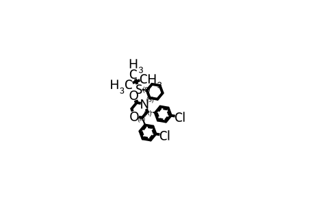 CC(C)(C)S[C@H]1CCCC[C@@H]1N1C(=O)CO[C@H](c2cccc(Cl)c2)[C@H]1c1ccc(Cl)cc1